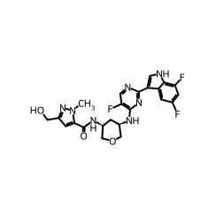 Cn1nc(CO)cc1C(=O)N[C@@H]1COC[C@H](Nc2nc(-c3c[nH]c4c(F)cc(F)cc34)ncc2F)C1